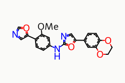 COc1cc(Nc2ncc(-c3ccc4c(c3)OCCO4)o2)ccc1-c1cnco1